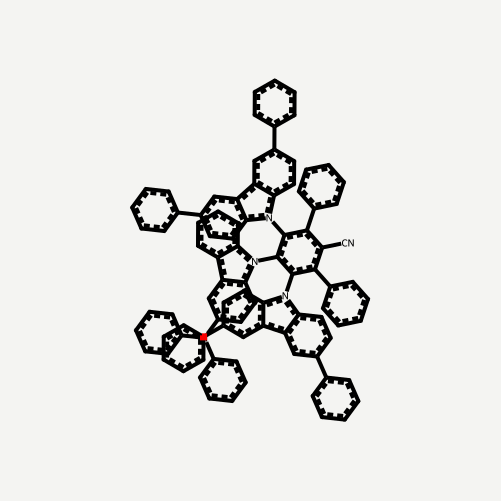 N#Cc1c(-c2ccccc2)c(-n2c3ccc(-c4ccccc4)cc3c3cc(-c4ccccc4)ccc32)c(-n2c3ccccc3c3cc(N(c4ccccc4)c4ccccc4)ccc32)c(-n2c3ccc(-c4ccccc4)cc3c3cc(-c4ccccc4)ccc32)c1-c1ccccc1